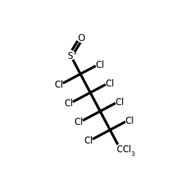 O=[S+]C(Cl)(Cl)C(Cl)(Cl)C(Cl)(Cl)C(Cl)(Cl)C(Cl)(Cl)Cl